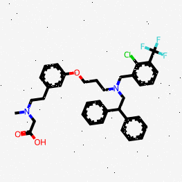 CN(CCc1cccc(OCCCN(Cc2cccc(C(F)(F)F)c2Cl)CC(c2ccccc2)c2ccccc2)c1)CC(=O)O